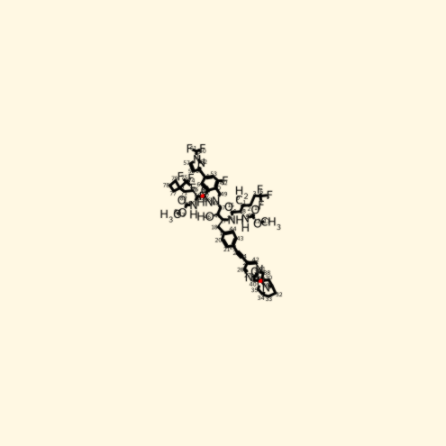 C=C(CCC(F)(F)F)[C@H](NC(=O)OC)C(=O)N[C@@H](Cc1ccc(C#Cc2cnc(N3CC4CCC(C3)N4C3COC3)nc2)cc1)[C@@H](O)CN(Cc1c(F)cc(-c2ccn(C(F)F)n2)cc1F)NC(=O)[C@H](CCC1(C(F)(F)F)CCC1)NC(=O)OC